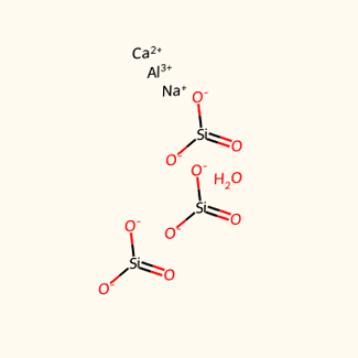 O.O=[Si]([O-])[O-].O=[Si]([O-])[O-].O=[Si]([O-])[O-].[Al+3].[Ca+2].[Na+]